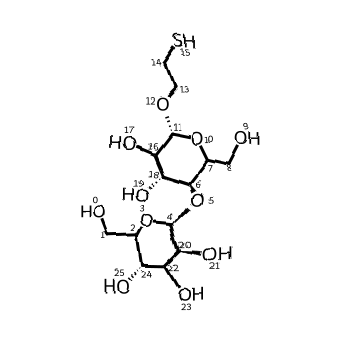 OCC1O[C@@H](O[C@@H]2C(CO)O[C@@H](OCCS)C(O)[C@H]2O)[C@@H](O)C(O)[C@@H]1O